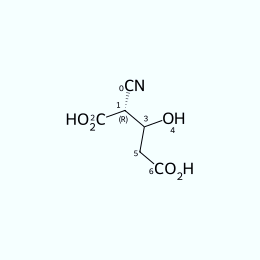 N#C[C@@H](C(=O)O)C(O)CC(=O)O